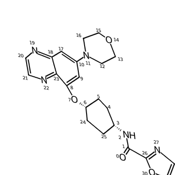 O=C(N[C@H]1CC[C@@H](Oc2cc(N3CCOCC3)cc3nccnc23)CC1)c1ncco1